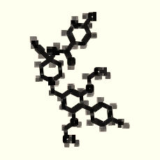 CCOc1cc(CN2CCC(C#N)(NC(=O)c3ccc(Cl)nc3)CC2)cc(OCC)c1-c1ccc(F)cc1